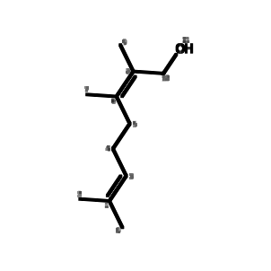 CC(C)=CCC/C(C)=C(/C)CO